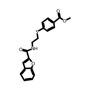 COC(=O)c1ccc(SCCNC(=O)c2cc3ccccc3o2)cc1